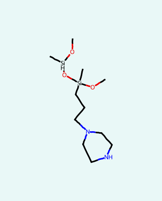 CO[SiH](C)O[Si](C)(CCCN1CCNCC1)OC